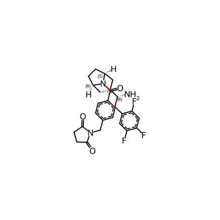 N[C@H](Cc1cc(F)c(F)cc1F)[C@@H]1C[C@H]2CC[C@@H](C1)N2C(=O)c1ccc(CN2C(=O)CCC2=O)cc1